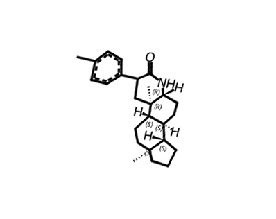 Cc1ccc(C2C[C@@]3(C)[C@@H](CC[C@H]4[C@@H]5CCC[C@@]5(C)CC[C@@H]43)NC2=O)cc1